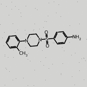 Cc1ccccc1N1CCN(S(=O)(=O)c2ccc(N)cc2)CC1